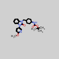 COc1ccc(-n2c(=O)n(CC3CCC(NC(=O)OC(C)(C)C)CC3)c3ccccc32)cn1